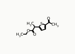 CCOC(=O)C(C)c1ccc(C(C)=O)s1